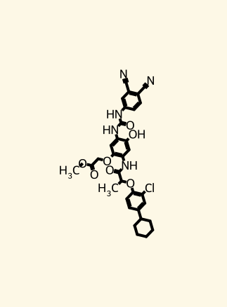 COC(=O)COc1cc(NC(=O)Nc2ccc(C#N)c(C#N)c2)c(O)cc1NC(=O)C(C)Oc1ccc(C2CCCCC2)cc1Cl